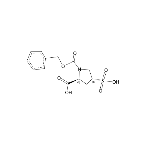 O=C(O)[C@@H]1C[C@@H](S(=O)(=O)O)CN1C(=O)OCc1ccccc1